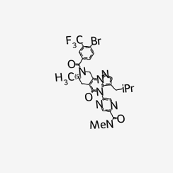 CNC(=O)c1cnc(-n2c(=O)c3c(n4ncc(CC(C)C)c24)CN(C(=O)c2ccc(Br)c(C(F)(F)F)c2)[C@@H](C)C3)cn1